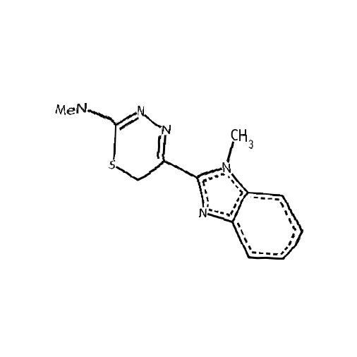 CNC1=NN=C(c2nc3ccccc3n2C)CS1